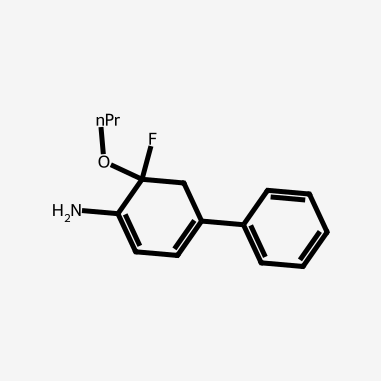 CCCOC1(F)CC(c2ccccc2)=CC=C1N